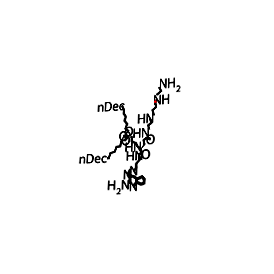 CCCCCCCCCCCCCCCCOP(=O)(CCCN[C@@H](CCC(=O)NCCCNCCCCNCCCN)C(=O)NCCCn1cnc2c(N)nc3ccccc3c21)OCCCCCCCCCCCCCCCC